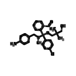 CN(Cc1ccc(N)cc1)C(OCC(C)(C)CO)(c1ccc(Cl)cc1)c1ccccc1C=O